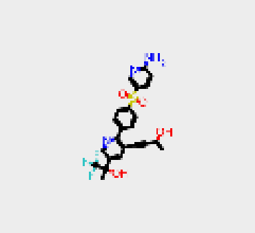 CC(O)C#Cc1cc(C(C)(O)C(F)(F)F)cnc1-c1ccc(S(=O)(=O)c2ccc(N)nc2)cc1